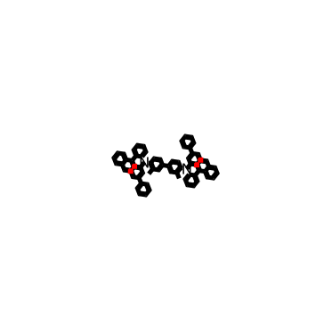 Cc1cc(-c2ccc(N(c3cccc(-c4ccccc4)c3)c3ccccc3-c3cccc4ccccc34)c(C)c2)ccc1N(c1cccc(-c2ccccc2)c1)c1ccccc1-c1cccc2ccccc12